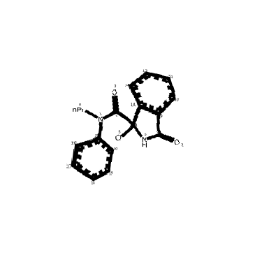 CCCN(C(=O)C1(Cl)NC(=O)c2ccccc21)c1ccccc1